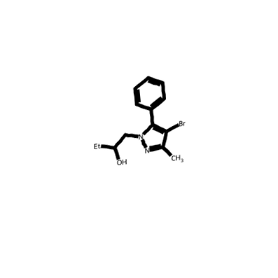 CCC(O)Cn1nc(C)c(Br)c1-c1ccccc1